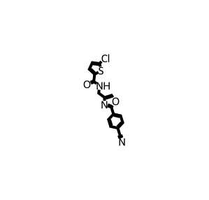 N#Cc1ccc(-c2nc(CNC(=O)c3ccc(Cl)s3)co2)cc1